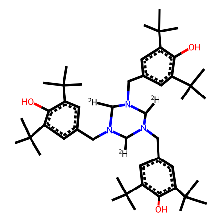 [2H]C1N(Cc2cc(C(C)(C)C)c(O)c(C(C)(C)C)c2)C([2H])N(Cc2cc(C(C)(C)C)c(O)c(C(C)(C)C)c2)C([2H])N1Cc1cc(C(C)(C)C)c(O)c(C(C)(C)C)c1